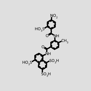 Cc1ccc(C(=O)Nc2ccc(S(=O)(=O)O)c3cc(S(=O)(=O)O)cc(S(=O)(=O)O)c23)cc1NC(=O)c1ccc([N+](=O)[O-])cc1S(=O)(=O)O